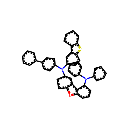 c1ccc(-c2ccc(N(c3ccc4sc5ccccc5c4c3)c3ccc4oc5cccc(N(c6ccccc6)c6ccccc6)c5c4c3)cc2)cc1